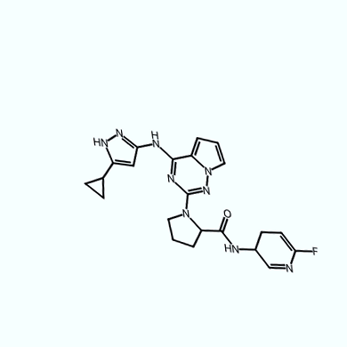 O=C(NC1C=NC(F)=CC1)C1CCCN1c1nc(Nc2cc(C3CC3)[nH]n2)c2cccn2n1